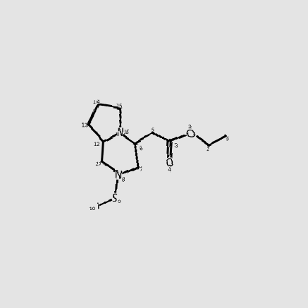 CCOC(=O)CC1CN(SI)CC2CCCN21